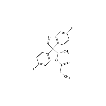 CCC(=O)O[C@@H](C)C(N=O)(c1ccc(F)cc1)c1ccc(F)cc1